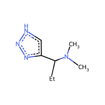 CC[C](c1c[nH]nn1)N(C)C